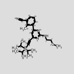 COCCNc1nc(C#C[Si](C(C)C)(C(C)C)C(C)C)cc(-c2cccc(C#N)c2C)n1